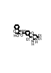 CC[C@H](c1cccc(C(=O)N[C@@H]2c3ccccc3OCC2(C)O)c1)N1C(=N)NC(CC)(CC)CC1=O